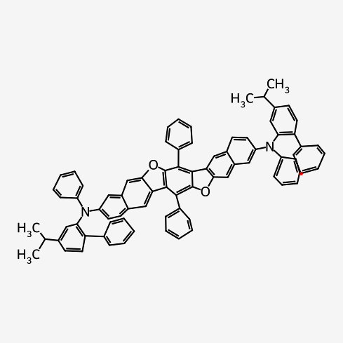 CC(C)c1ccc(-c2ccccc2)c(N(c2ccccc2)c2ccc3cc4c(cc3c2)oc2c(-c3ccccc3)c3c(oc5cc6cc(N(c7ccccc7)c7cc(C(C)C)ccc7-c7ccccc7)ccc6cc53)c(-c3ccccc3)c24)c1